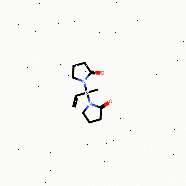 C=C[Si](C)(N1CCCC1=O)N1CCCC1=O